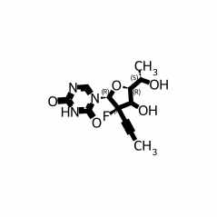 CC#C[C@@]1(F)C(O)[C@@H]([C@H](C)O)O[C@H]1n1cnc(=O)[nH]c1=O